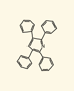 [c]1c(-c2ccccc2)c(-c2ccccc2)nc(-c2ccccc2)c1-c1ccccc1